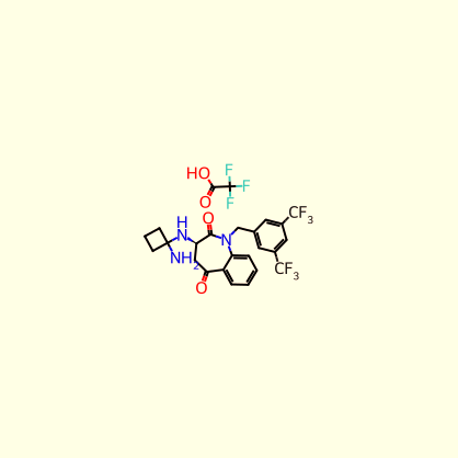 NC1(N[C@@H]2CC(=O)c3ccccc3N(Cc3cc(C(F)(F)F)cc(C(F)(F)F)c3)C2=O)CCC1.O=C(O)C(F)(F)F